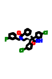 C[C@]1([C@@H](CCN(Cc2cccc(F)c2)C(=O)c2ccccc2)C2C=CC=C(Cl)C2)C(=O)Nc2cc(Cl)ccc21